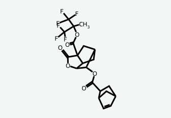 CC(OC(=O)C12CC3CC1C(OC2=O)C3OC(=O)C1CC2C=CC1C2)(C(F)(F)F)C(F)(F)F